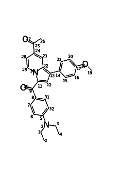 CCN(CC)c1ccc(C(=O)c2cc(-c3ccc(OC)cc3)c3cc(C(C)=O)ccn23)cc1